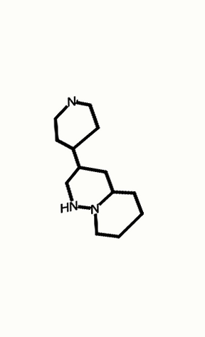 C1CCN2NCC(C3CC[N]CC3)CC2C1